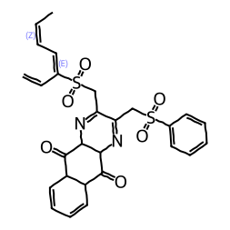 C=C/C(=C\C=C/C)S(=O)(=O)CC1=NC2C(=O)C3C=CC=CC3C(=O)C2N=C1CS(=O)(=O)c1ccccc1